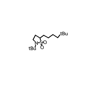 CC(C)(C)CCCCC1CCN(C(C)(C)C)S1(=O)=O